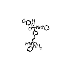 COc1ccc(NC(=O)C(NCCN2CCCCC2)c2ccc(C=CC(=O)Nc3ccccc3N)cc2)cc1